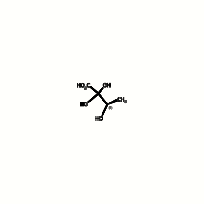 C[C@@H](O)C(O)(O)C(=O)O